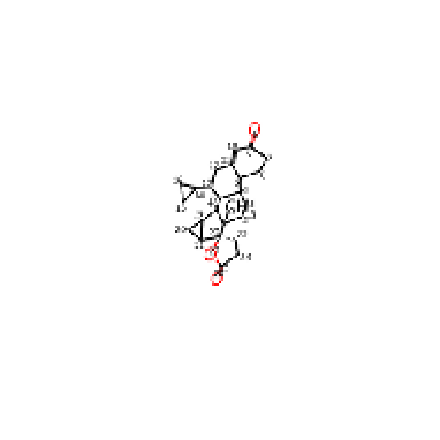 C[C@]12CCC3C4CCC(=O)C=C4CC(C4CC4)C3C1C1CC1[C@@]21CCC(=O)O1